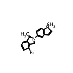 C=C1c2cccc(Br)c2CN1c1ccc2c(ccn2C)c1